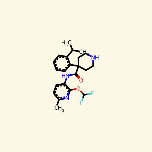 Cc1ccc(NC(=O)C2(c3ccccc3C(C)C)CCNCC2)c(OC(F)F)n1